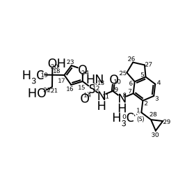 C[C@H](c1ccc2c(c1NC(=O)NS(=N)(=O)c1cc(C(C)(O)CO)co1)CCC2)C1CC1